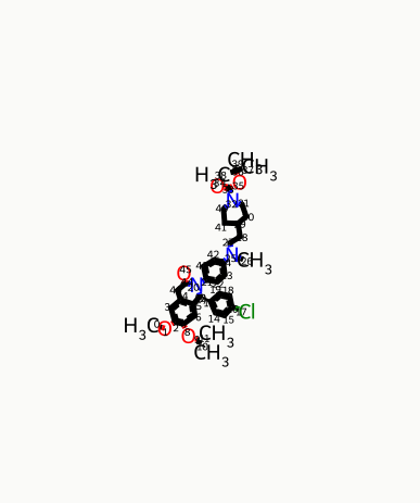 COc1cc2c(cc1OC(C)C)[C@H](c1ccc(Cl)cc1)N(c1ccc(N(C)CCC3CCN(C(=O)OC(C)(C)C)CC3)cc1)C(=O)C2